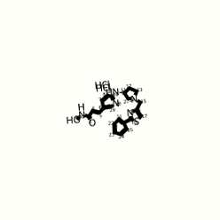 Cl.Cl.O=C(C=Cc1ccc(N[C@@H]2CCN(Cc3csc(-c4ccccc4)n3)C2)nc1)NO